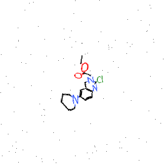 CCOC(=O)CN1Cc2cc(N3CCCCC3)ccc2N=C1Cl